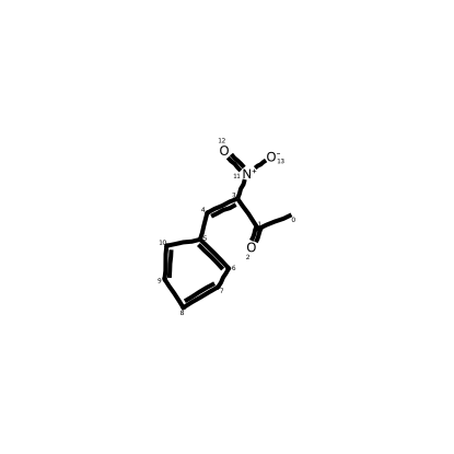 CC(=O)/C(=C\c1ccccc1)[N+](=O)[O-]